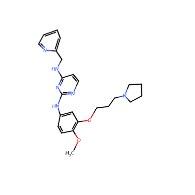 COc1ccc(Nc2nccc(NCc3ccccn3)n2)cc1OCCCN1CCCC1